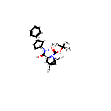 CC(C)(C)OC(=O)N1[C@@H]2C[C@@H]2C[C@H]1C(=O)N[C@H]1CC[C@H](c2ccccc2)C1